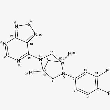 Fc1ccc(N2C[C@@H]3C[C@H]2CN3c2ncnc3nsnc23)cc1F